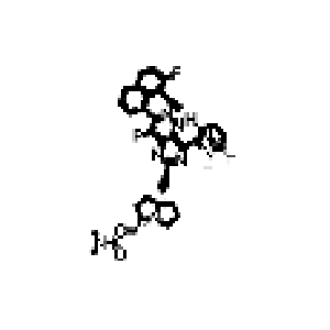 C#Cc1c(F)ccc2cccc(-c3nnc4c(N5C[C@H]6CC[C@@H]5CN6)nc(C#C[C@]56CCCN5[C@@H](COC(=O)N(C)C)CC6)nc4c3F)c12